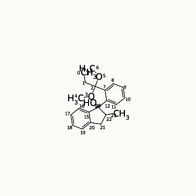 CCC(OC)(OC)c1ccccc1C1(O)c2ccccc2CC1C